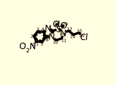 O=[N+]([O-])c1ccc2nc3n(c2c1)CCN(CCCCl)S3(=O)=O